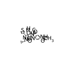 COP1N=C(c2c(O)c(-c3ccsc3)nn(CC3CC3)c2=O)Nc2ccc(N[S+](C)[O-])cc21